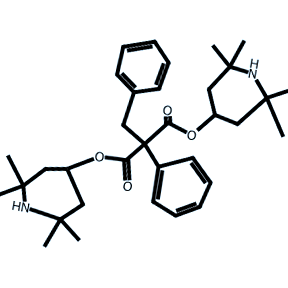 CC1(C)CC(OC(=O)C(Cc2ccccc2)(C(=O)OC2CC(C)(C)NC(C)(C)C2)c2ccccc2)CC(C)(C)N1